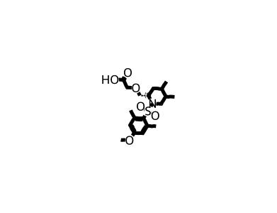 COc1cc(C)c(S(=O)(=O)N2CC(C)C(C)C[C@H]2COCC(=O)O)c(C)c1